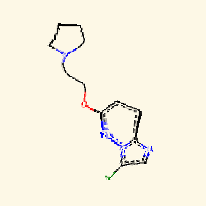 Brc1cnc2ccc(OCCN3CCCC3)nn12